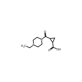 CCN1CCN(C(=O)C2CC2C(=O)O)CC1